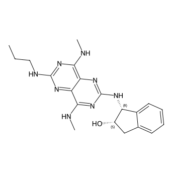 CCCNc1nc(NC)c2nc(N[C@@H]3c4ccccc4C[C@@H]3O)nc(NC)c2n1